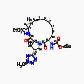 CCOC(=O)[C@@]12C[C@H]1/C=C\CCCCC[C@H](NC(=O)OC(C)(C)C)C(=O)N1C[C@H](c3nnn(C)n3)C[C@H]1C(=O)N2